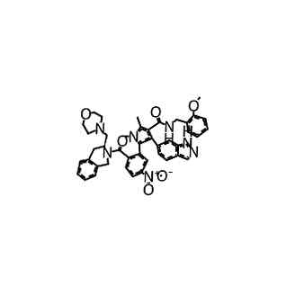 COc1ccccc1CNC(=O)c1c(-c2ccc3cn[nH]c3c2)c(-c2cc([N+](=O)[O-])ccc2C(=O)N2Cc3ccccc3C[C@H]2CN2CCOCC2)n(C)c1C